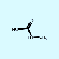 CBC(=O)O